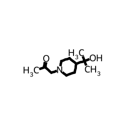 CC(=O)CN1CCC(C(C)(C)O)CC1